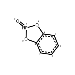 O=[PH]1Oc2ccccc2O1